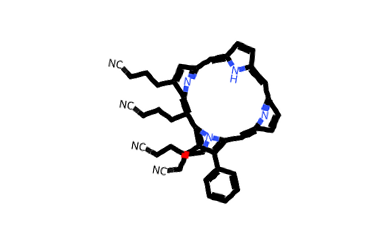 N#CCCCC1=Cc2cc3ccc(cc4nc(cc5c(-c6ccccc6)c(CCCC#N)c(c(CCCC#N)c1n2)n5CCCC#N)C=C4)[nH]3